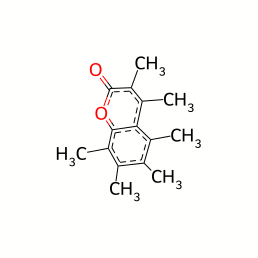 Cc1c(C)c(C)c2c(C)c(C)c(=O)oc2c1C